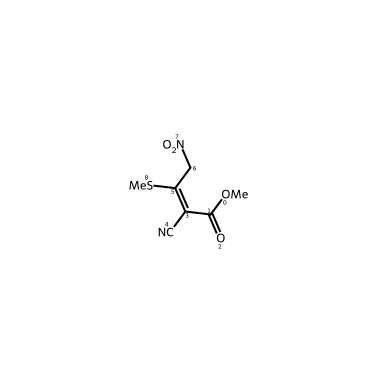 COC(=O)C(C#N)=C(C[N+](=O)[O-])SC